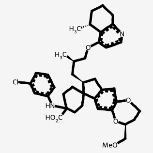 COC[C@@H]1CCOc2cc3c(cc2O1)C1(CCC(Nc2cccc(Cl)c2)(C(=O)O)CC1)[C@@H](C[C@@H](C)COc1ccnc2c1[C@H](C)CCC2)C3